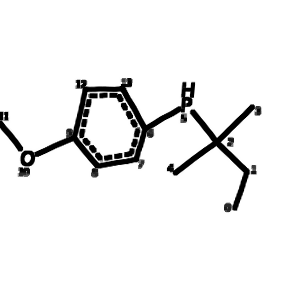 CCC(C)(C)Pc1ccc(OC)cc1